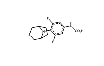 O=C(O)Nc1cc(F)c(N2C3CCC2CSC3)c(F)c1